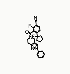 N#Cc1ccc(C2(F)CCCC2)c(C(=O)N2CCc3nn(-c4ccccc4)cc3C2)c1F